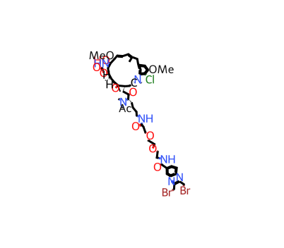 COc1cc2cc(c1Cl)N(C)CC[C@H](CC(=O)[C@H](CCCCNC(=O)CCOCCOCCNC(=O)c1ccc3nc(CBr)c(CBr)nc3c1)N(C)C(C)=O)[C@]1(C)O[C@H]1[C@H](C)[C@@H]1C[C@@](O)(NC(=O)O1)[C@H](OC)/C=C/C=C(\C)C2